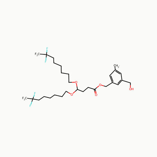 [CH2]c1cc(CO)cc(COC(=O)CCC(OCCCCCCC(F)(F)C(F)(F)F)OCCCCCCC(F)(F)C(F)(F)F)c1